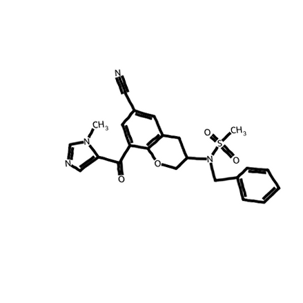 Cn1cncc1C(=O)c1cc(C#N)cc2c1OCC(N(Cc1ccccc1)S(C)(=O)=O)C2